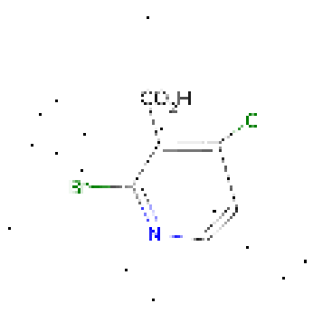 O=C(O)c1c(Cl)ccnc1Br